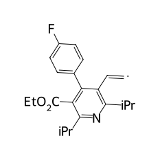 [CH]=Cc1c(C(C)C)nc(C(C)C)c(C(=O)OCC)c1-c1ccc(F)cc1